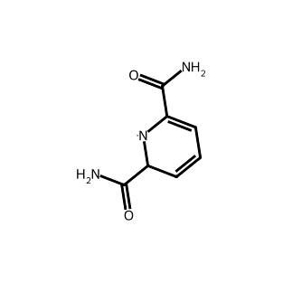 NC(=O)C1=CC=CC(C(N)=O)[N]1